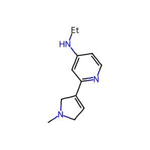 CCNc1ccnc(C2=CCN(C)C2)c1